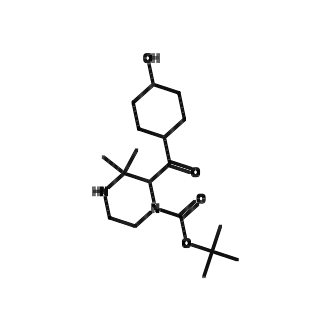 CC(C)(C)OC(=O)N1CCNC(C)(C)C1C(=O)C1CCC(O)CC1